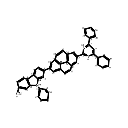 N#Cc1ccc2c3ccc(-c4cc5ccc6cc(-c7nc(-c8ccccc8)cc(-c8ccccc8)n7)cc7ccc(c4)c5c67)cc3n(-c3ccccc3)c2c1